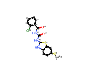 COSc1ccc2c(c1)SC(NC(=O)NC(=O)c1ccccc1Cl)N2